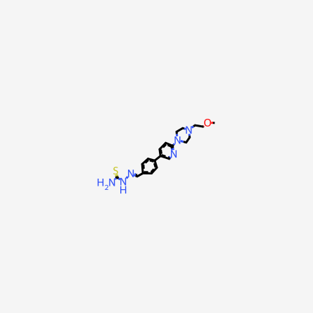 COCCN1CCN(c2ccc(-c3ccc(C=NNC(N)=S)cc3)cn2)CC1